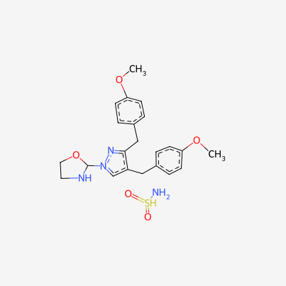 COc1ccc(Cc2cn(C3NCCO3)nc2Cc2ccc(OC)cc2)cc1.N[SH](=O)=O